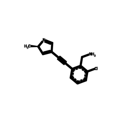 C[C@@H]1C=C(C#Cc2cccc(Cl)c2CN)C=N1